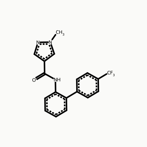 Cn1cc(C(=O)Nc2ccccc2-c2ccc(C(F)(F)F)cc2)cn1